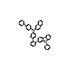 c1ccc(-c2ccc(N(c3ccc(-c4ccccc4-c4ccc5c6ccccc6n(-c6ccccc6)c5c4)cc3)c3ccc4ccccc4c3)cc2)cc1